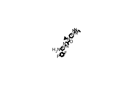 CCn1nnc(N2CCC(N(C(=O)c3cnc(N4C[C@H](c5cc(F)ccc5F)[C@@H](N)C4)nc3)C3CC3)CC2)n1